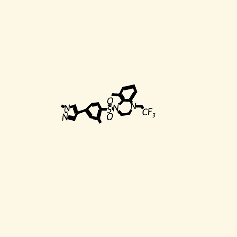 Cc1cc(-c2cnn(C)c2)ccc1S(=O)(=O)N1CCN(CC(F)(F)F)c2cccc(C)c21